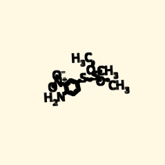 CCO[Si](C)(CSc1ccc(N)c([N+](=O)[O-])c1)OCC